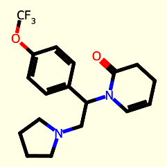 O=C1CCC=CN1C(CN1CCCC1)c1ccc(OC(F)(F)F)cc1